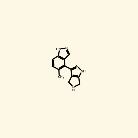 Cc1ccc2[nH]ncc2c1-c1n[nH]c2c1CNC2